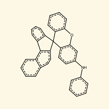 c1ccc(Nc2ccc3c(c2)Oc2ccccc2C32c3ccccc3-c3c2ccc2ccccc32)cc1